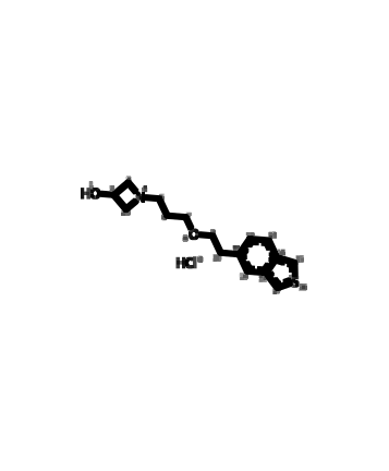 Cl.OC1CN(CCCOCCc2ccc3cscc3c2)C1